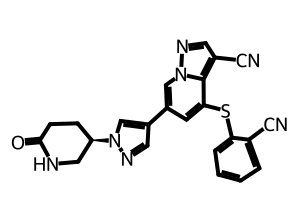 N#Cc1ccccc1Sc1cc(-c2cnn([C@@H]3CCC(=O)NC3)c2)cn2ncc(C#N)c12